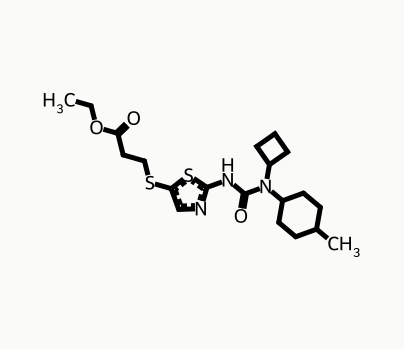 CCOC(=O)CCSc1cnc(NC(=O)N(C2CCC2)C2CCC(C)CC2)s1